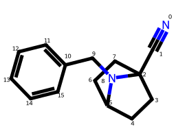 N#CC12CCC(CC1)N2Cc1ccccc1